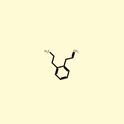 C=CCc1c[c][c]cc1CCC